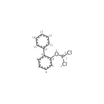 ClP(Cl)Oc1ccccc1-c1ccccc1